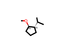 CO[C@@H]1CCC[C@H]1C(C)C